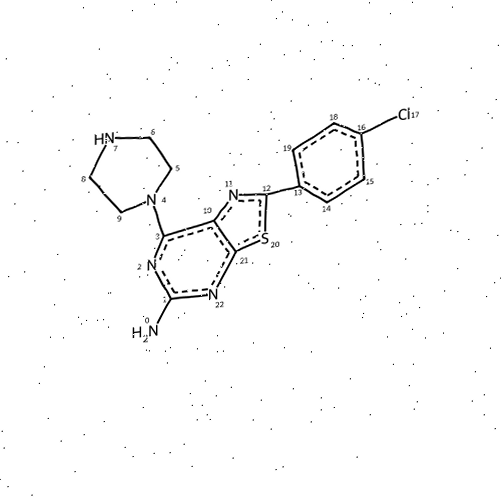 Nc1nc(N2CCNCC2)c2nc(-c3ccc(Cl)cc3)sc2n1